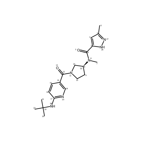 Cc1cc(C(=O)N(C)[C@H]2CCN(C(=O)c3ccc(NC(C)(C)C)nc3)C2)[nH]n1